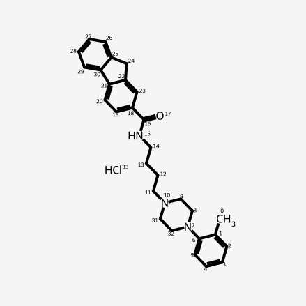 Cc1ccccc1N1CCN(CCCCNC(=O)c2ccc3c(c2)Cc2ccccc2-3)CC1.Cl